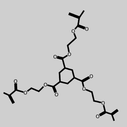 C=C(C)C(=O)OCCOC(=O)C1CC(C(=O)OCCOC(=O)C(=C)C)CC(C(=O)OCCOC(=O)C(=C)C)C1